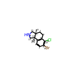 C[C@@]12CCc3c(ccc(Br)c3Cl)[C@@H]1CNC2